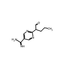 CCCC([C]=O)c1ncc(C(=N)N)cn1